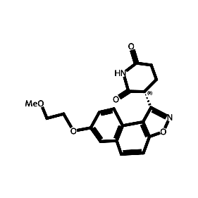 COCCOc1ccc2c(ccc3onc([C@H]4CCC(=O)NC4=O)c32)c1